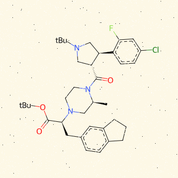 C[C@H]1CN([C@@H](Cc2ccc3c(c2)CCC3)C(=O)OC(C)(C)C)CCN1C(=O)[C@@H]1CN(C(C)(C)C)C[C@H]1c1ccc(Cl)cc1F